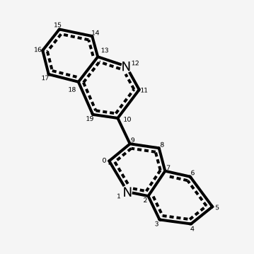 [c]1nc2ccccc2cc1-c1cnc2ccccc2c1